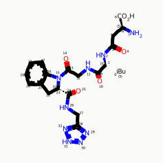 CC[C@H](C)[C@H](NC(=O)C[C@H](N)C(=O)O)C(=O)NCC(=O)N1c2ccccc2C[C@H]1C(=O)NCc1nn[nH]n1